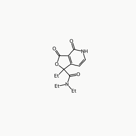 CCN(CC)C(=O)C1(CC)OC(=O)c2c1cc[nH]c2=O